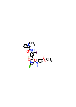 COC(=O)[C@H]1CC[C@H](NC(=O)[C@@H]2C[C@H](F)CN2C(=O)Cc2cc(CI)c(NC(=O)c3cn(C)c4ccccc34)cc2F)CC1